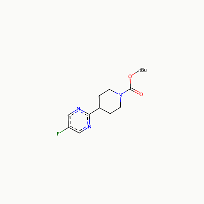 CC(C)(C)OC(=O)N1CCC(c2ncc(F)cn2)CC1